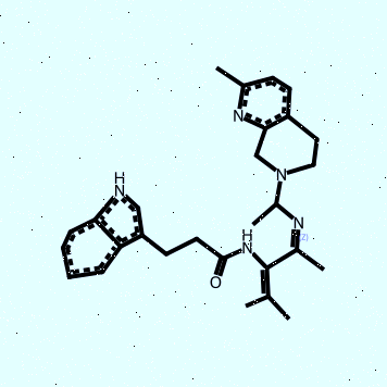 CC(C)=C(NC(=O)CCc1c[nH]c2ccccc12)/C(C)=N\C(C)N1CCc2ccc(C)nc2C1